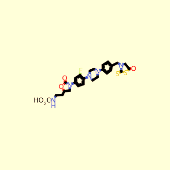 O=C(O)NCCC1CN(c2ccc(N3CCN(c4ccc(CN5CC(=O)SC5=S)cc4)CC3)c(F)c2)C(=O)O1